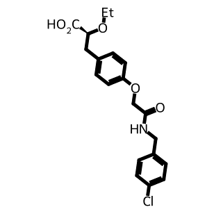 CCO[C@@H](Cc1ccc(OCC(=O)NCc2ccc(Cl)cc2)cc1)C(=O)O